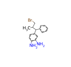 CC(CBr)C(c1ccccc1)c1ccc(N)c(N)c1